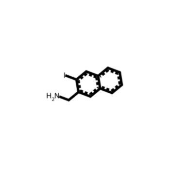 NCc1cc2ccccc2cc1I